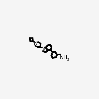 NCc1cccc(-c2cccc3c2ccn3C2CCN(C3CCC3)CC2)c1